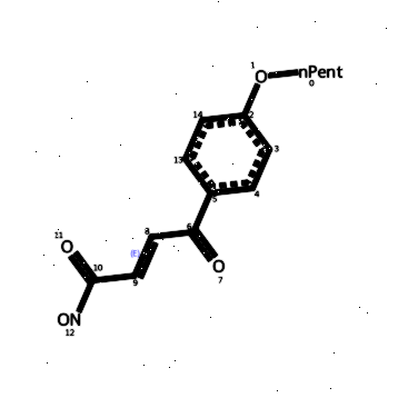 CCCCCOc1ccc(C(=O)/C=C/C(=O)N=O)cc1